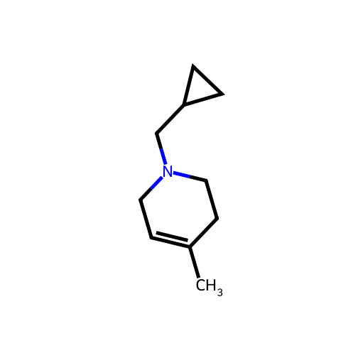 CC1=CCN(CC2CC2)CC1